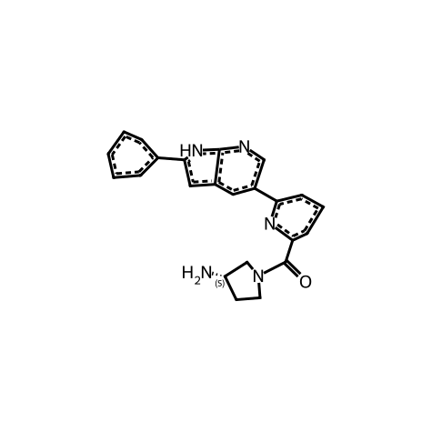 N[C@H]1CCN(C(=O)c2cccc(-c3cnc4[nH]c(-c5ccccc5)cc4c3)n2)C1